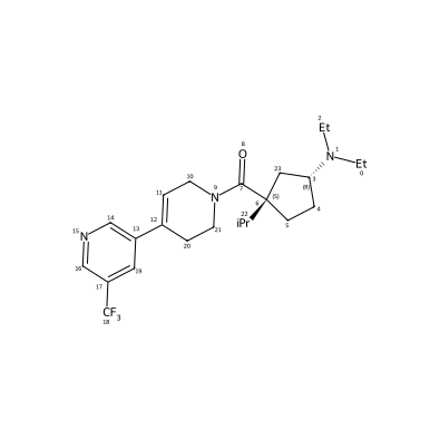 CCN(CC)[C@@H]1CC[C@@](C(=O)N2CC=C(c3cncc(C(F)(F)F)c3)CC2)(C(C)C)C1